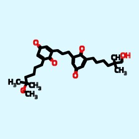 COC(C)(C)CCCCC1=CC(=O)C=C(CCCC2=CC(=O)C=C(CCCCC(C)(C)CO)C2=O)C1=O